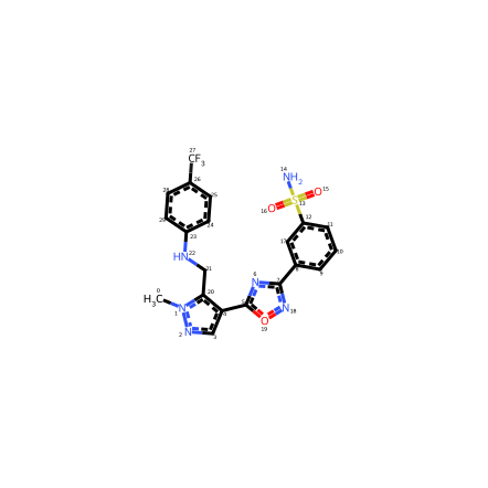 Cn1ncc(-c2nc(-c3cccc(S(N)(=O)=O)c3)no2)c1CNc1ccc(C(F)(F)F)cc1